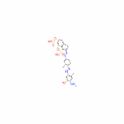 COc1cc(N=Nc2ccc(N=Nc3ccc4ccc(S(=O)(=O)O)cc4c3S(=O)(=O)O)cc2C)c(C)cc1N